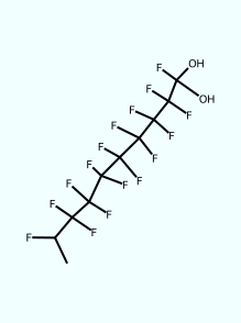 CC(F)C(F)(F)C(F)(F)C(F)(F)C(F)(F)C(F)(F)C(F)(F)C(F)(F)C(O)(O)F